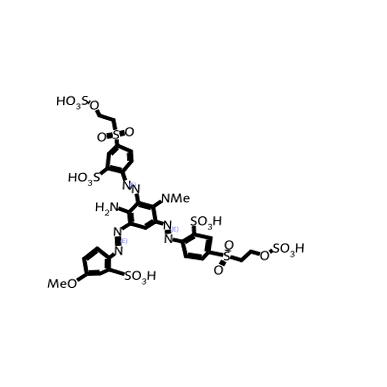 CNc1c(/N=N/c2ccc(S(=O)(=O)CCOS(=O)(=O)O)cc2S(=O)(=O)O)cc(/N=N/c2ccc(OC)cc2S(=O)(=O)O)c(N)c1/N=N/c1ccc(S(=O)(=O)CCOS(=O)(=O)O)cc1S(=O)(=O)O